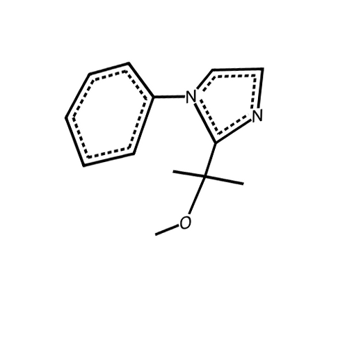 COC(C)(C)c1nccn1-c1ccccc1